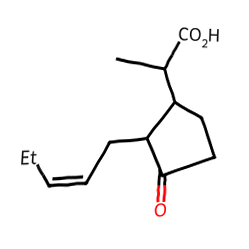 CC/C=C\CC1C(=O)CCC1C(C)C(=O)O